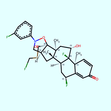 C[C@]12C[C@H](O)[C@@]3(F)[C@@H](C[C@H](F)C4=CC(=O)C=C[C@@]43C)[C@]1(C)C[C@H]1CN(c3cccc(F)c3)O[C@]12C(=O)SCF